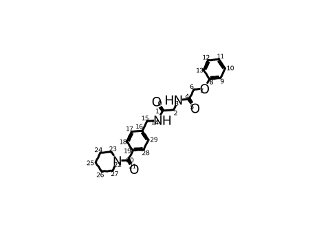 O=C(CNC(=O)COc1ccccc1)NCc1ccc(C(=O)N2CCCCC2)cc1